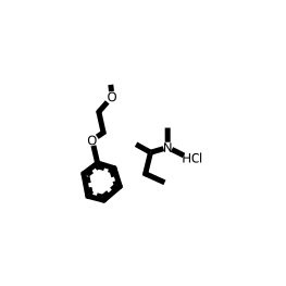 CCC(C)N(C)C.COCCOc1ccccc1.Cl